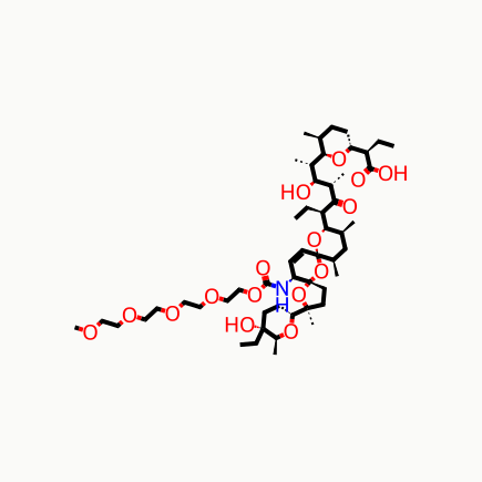 CC[C@@H](C(=O)[C@@H](C)[C@@H](O)[C@H](C)[C@@H]1O[C@@H]([C@@H](CC)C(=O)O)CC[C@@H]1C)[C@H]1O[C@]2(C=C[C@@H](NC(=O)OCCOCCOCCOCCOC)[C@]3(CC[C@@](C)([C@H]4CC[C@](O)(CC)[C@H](C)O4)O3)O2)[C@H](C)C[C@@H]1C